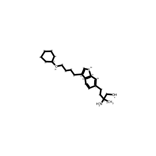 CC(N)(CO)CCc1ccc2c(CCCCOC3CCCCC3)csc2c1